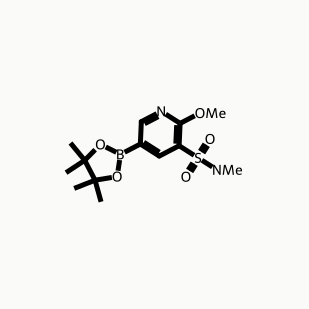 CNS(=O)(=O)c1cc(B2OC(C)(C)C(C)(C)O2)cnc1OC